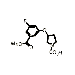 COC(=O)c1cc(F)cc(OC2CCN(C(=O)O)C2)c1